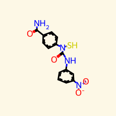 NC(=O)c1ccc(N(S)C(=O)Nc2cccc([N+](=O)[O-])c2)cc1